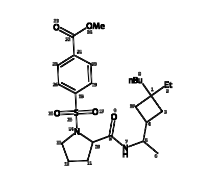 CCCCC1(CC)CC(C(C)NC(=O)C2CCCN2S(=O)(=O)c2ccc(C(=O)OC)cc2)C1